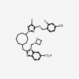 N#Cc1ccc(COc2nn(C3CCCCC(Cc4nc5ccc(C(=O)O)cc5n4C[C@@H]4CCO4)CC3)cc2F)c(F)c1